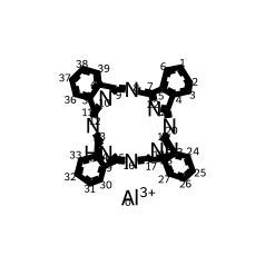 [Al+3].c1ccc2c(c1)-c1nc3nc(nc4[nH]c(nc5[nH]c(nc-2n1)c1ccccc51)c1ccccc41)-c1ccccc1-3